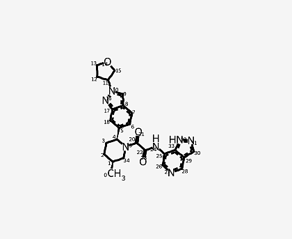 C[C@H]1CC[C@@H](c2ccc3cn(C4CCOC4)nc3c2)N(C(=O)C(=O)Nc2cncc3cn[nH]c23)C1